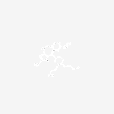 COCCC1CN(C2=c3ncccc3=CNc3sc(C(F)(F)F)nc32)CCN1CCCF.Cl.Cl